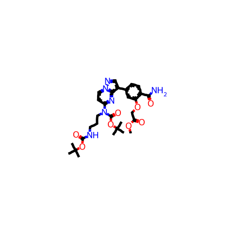 COC(=O)COc1cc(-c2cnn3ccc(N(CCCNC(=O)OC(C)(C)C)C(=O)OC(C)(C)C)nc23)ccc1C(N)=O